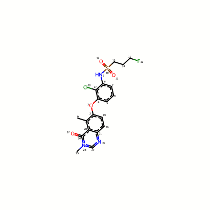 Cc1c(Oc2cccc(NS(=O)(=O)CCCF)c2Cl)ccc2ncn(C)c(=O)c12